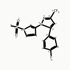 CS(=O)(=O)n1ccc(-n2nc(C(F)(F)F)cc2-c2ccc(F)cc2)c1